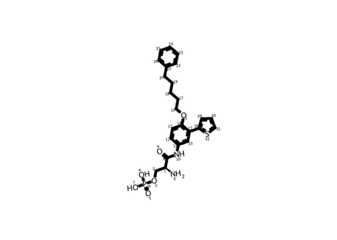 N[C@@H](COP(=O)(O)O)C(=O)Nc1ccc(OCCCCCc2ccccc2)c(-c2cccs2)c1